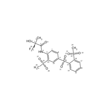 C[C@@](O)(C(=O)Nc1ccc(S(=O)(=O)c2ccccc2S(C)(=O)=O)cc1S(C)(=O)=O)C(F)(F)F